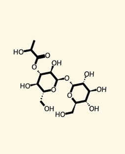 CC(O)C(=O)O[C@@H]1[C@@H](O)[C@@H](O[C@H]2O[C@H](CO)[C@@H](O)[C@H](O)[C@H]2O)O[C@H](CO)[C@H]1O